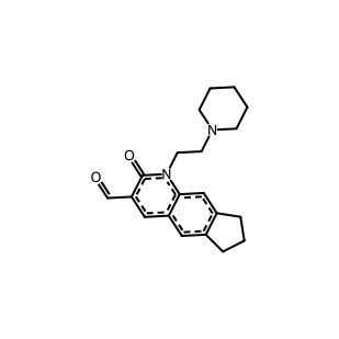 O=Cc1cc2cc3c(cc2n(CCN2CCCCC2)c1=O)CCC3